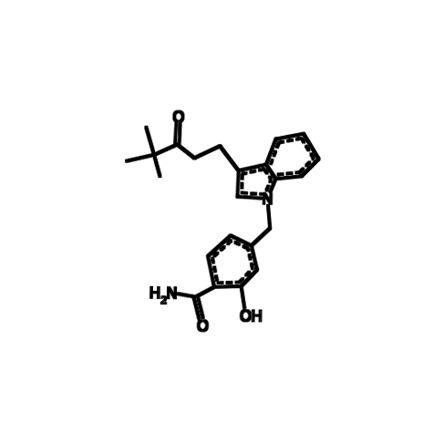 CC(C)(C)C(=O)CCc1cn(Cc2ccc(C(N)=O)c(O)c2)c2ccccc12